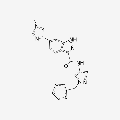 Cn1cnc(-c2ccc3c(C(=O)Nc4cnn(Cc5ccccc5)c4)n[nH]c3c2)c1